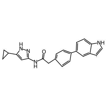 O=C(Cc1ccc(-c2ccc3[nH]c[c]c3c2)cc1)Nc1cc(C2CC2)[nH]n1